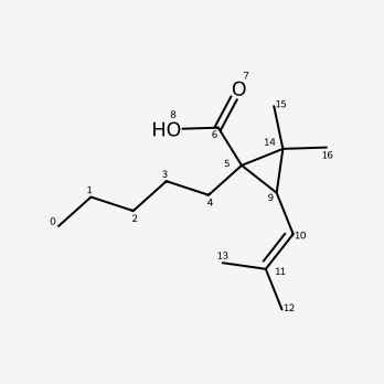 CCCCCC1(C(=O)O)C(C=C(C)C)C1(C)C